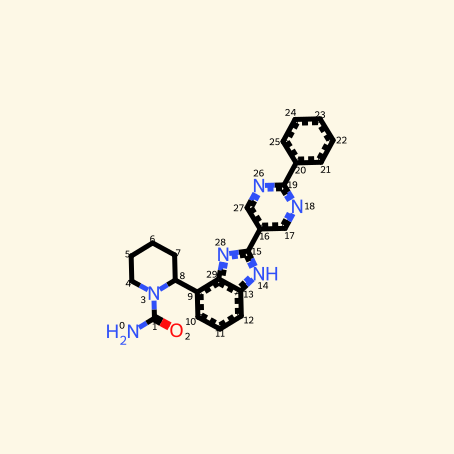 NC(=O)N1CCCCC1c1cccc2[nH]c(-c3cnc(-c4ccccc4)nc3)nc12